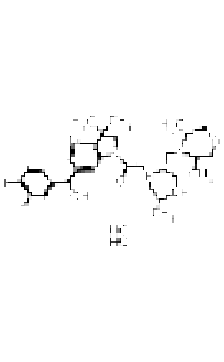 C[C@@H]1CN(CC(=O)N2CC(C)(C)c3ncc(C(O)c4ccc(F)c(F)c4)cc32)[C@@H](CN2[C@H](C)COC[C@H]2C)CN1.Cl.Cl